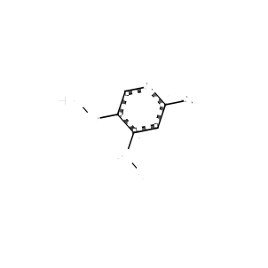 COc1cnc(N)cc1OC